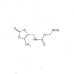 CC(=O)NCOC(=O)NCc1oc(=O)oc1C